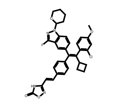 COc1ccc(C(=C(c2ccc(C=Cc3noc(=O)[nH]3)cc2)c2ccc3c(c2)c(F)nn3C2CCCCO2)C2CCC2)c(Cl)c1